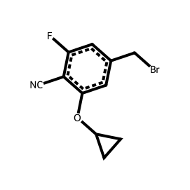 N#Cc1c(F)cc(CBr)cc1OC1CC1